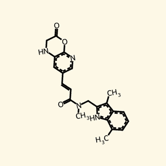 Cc1c(CN(C)C(=O)/C=C/c2cnc3c(c2)NCC(=O)O3)[nH]c2c(C)cccc12